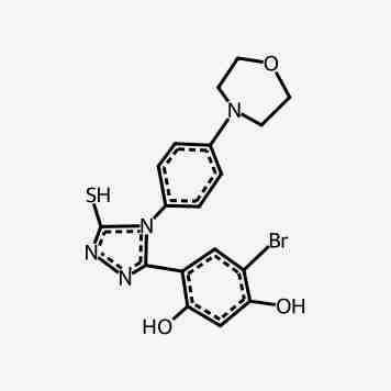 Oc1cc(O)c(-c2nnc(S)n2-c2ccc(N3CCOCC3)cc2)cc1Br